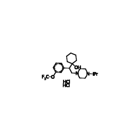 CC(C)N1CCN(CC(c2cccc(OC(F)(F)F)c2)C2(O)CCCCC2)CC1.Cl.Cl